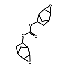 O=C(OC1CC2CC1C1OC21)OC1CC2CC1C1OC21